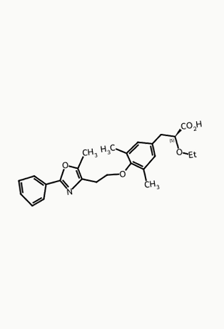 CCO[C@@H](Cc1cc(C)c(OCCc2nc(-c3ccccc3)oc2C)c(C)c1)C(=O)O